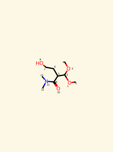 COC(OC)C(CCO)C(=O)N(C)C